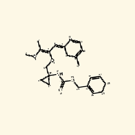 CO/C(C)=C(/C=C1\CC(C)=CC=N1)OCC1(NC(=O)OCC2=CCCC=C2)CC1